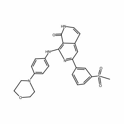 CS(=O)(=O)c1cccc(-c2cc3cc[nH]c(=O)c3c(Nc3ccc(N4CCOCC4)cc3)n2)c1